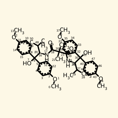 COc1ccc(C(O)(c2ccc(OC)cc2)[C@H](NC(=O)C(C)(C)C(=O)N[C@H](C(C)C)C(O)(c2ccc(OC)cc2)c2ccc(OC)cc2)C(C)C)cc1